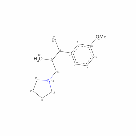 CCC(c1cccc(OC)c1)C(C)CN1CCCC1